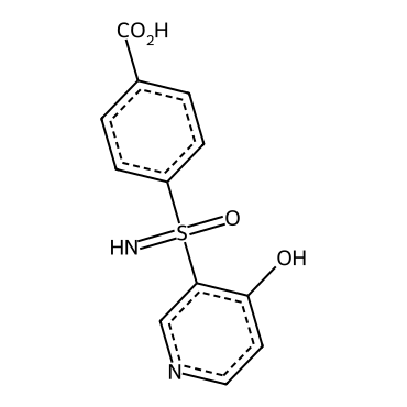 N=S(=O)(c1ccc(C(=O)O)cc1)c1cnccc1O